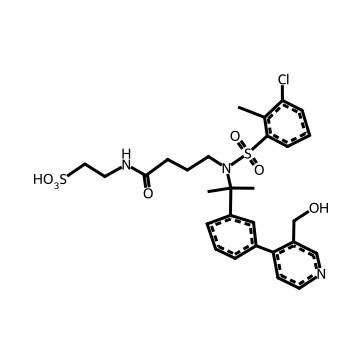 Cc1c(Cl)cccc1S(=O)(=O)N(CCCC(=O)NCCS(=O)(=O)O)C(C)(C)c1cccc(-c2ccncc2CO)c1